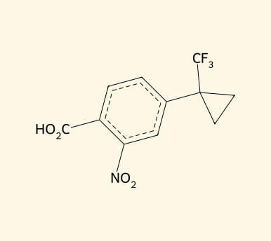 O=C(O)c1ccc(C2(C(F)(F)F)CC2)cc1[N+](=O)[O-]